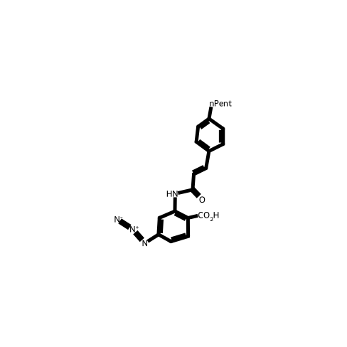 CCCCCc1ccc(C=CC(=O)Nc2cc(N=[N+]=[N-])ccc2C(=O)O)cc1